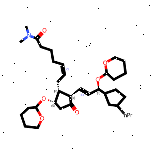 CCCC1CCC([C@@H](/C=C/[C@H]2C(=O)C[C@H](OC3CCCCO3)[C@@H]2C/C=C\CCCC(=O)N(C)C)OC2CCCCO2)C1